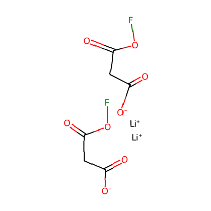 O=C([O-])CC(=O)OF.O=C([O-])CC(=O)OF.[Li+].[Li+]